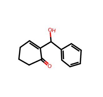 O=C1CCCC=C1C(O)c1ccccc1